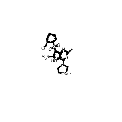 Cc1nc(N2CCO[C@@H](C)C2)c2[nH]c(N)c(S(=O)(=O)c3ccccc3Cl)c2n1